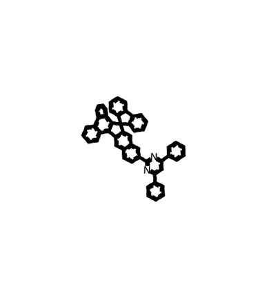 c1ccc(-c2cc(-c3ccccc3)nc(-c3ccc4cc5c(cc4c3)C3(c4ccccc4-c4ccccc43)c3c-5c4ccccc4c4ccccc34)n2)cc1